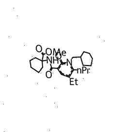 CCCc1c(CC)cc(C(=O)NC2(C(=O)OC)CCCCC2)c(=O)n1CC1CCCCC1